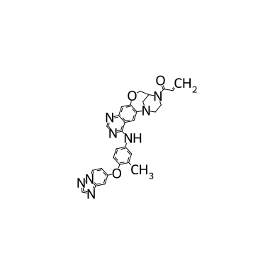 C=CC(=O)N1CCN2CC1COc1cc3ncnc(Nc4ccc(Oc5ccn6ncnc6c5)c(C)c4)c3cc12